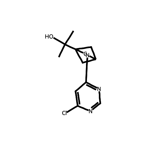 CC(C)(O)C12CC(C1)N(c1cc(Cl)ncn1)C2